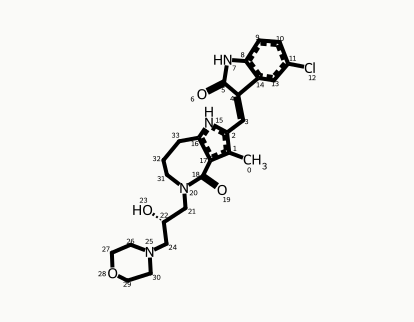 Cc1c(/C=C2\C(=O)Nc3ccc(Cl)cc32)[nH]c2c1C(=O)N(C[C@@H](O)CN1CCOCC1)CCC2